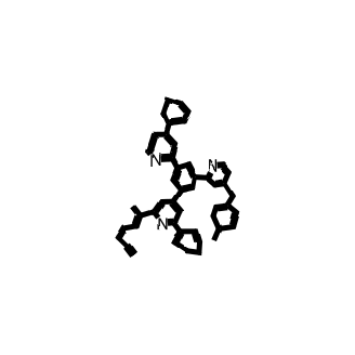 C#C/C=C\C=C(/C)c1cc(-c2cc(-c3cc(CC4=CCC(C)C=C4)ccn3)cc(-c3cc(C4=CC=CCC4)ccn3)c2)cc(C2=CCCC=C2)n1